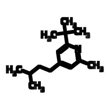 Cc1cc(CCC(C)C)cc(C(C)(C)C)n1